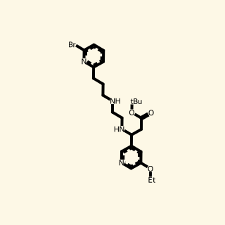 CCOc1cncc(C(CC(=O)OC(C)(C)C)NCCNCCCc2cccc(Br)n2)c1